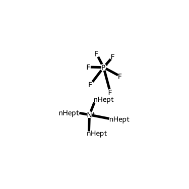 CCCCCCC[N+](CCCCCCC)(CCCCCCC)CCCCCCC.F[P-](F)(F)(F)(F)F